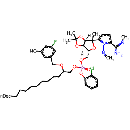 C=Nn1c(/C(N)=N\C)ccc1[C@]1(C)O[C@H](COP(=O)(OC[C@@H](CCCCCCCCCCCCCCCCCCC)OCc2cc(F)cc(C#N)c2)Oc2ccccc2Cl)[C@H]2OC(C)(C)O[C@H]21